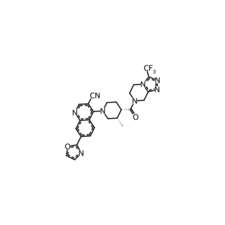 C[C@@H]1CN(c2c(C#N)cnc3cc(-c4ncco4)ccc23)CC[C@@H]1C(=O)N1CCn2c(nnc2C(F)(F)F)C1